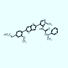 C[C@@H](OC(=O)Nc1c(-c2cc3sc(-c4ccc(CC(=O)O)cc4OC(F)(F)F)cc3s2)cnn1C)c1ccccc1